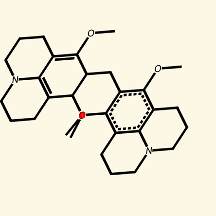 COC1=C2CCCN3CCCC(=C23)C(OC)C1Cc1c(OC)c2c3c(c1OC)CCCN3CCC2